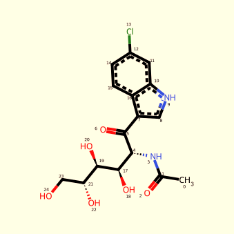 CC(=O)N[C@@H](C(=O)c1c[nH]c2cc(Cl)ccc12)[C@@H](O)[C@H](O)[C@H](O)CO